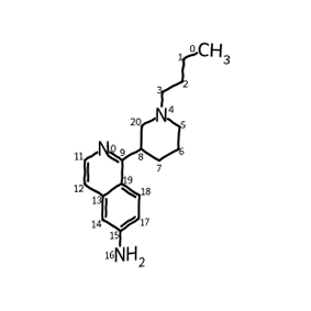 CCCCN1CCCC(c2nccc3cc(N)ccc23)C1